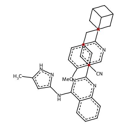 COc1ccc(CCC2C3CC2CN(c2ccc(-c4nc(Nc5cc(C)[nH]n5)c5ccccc5n4)cn2)C3)cc1C#N